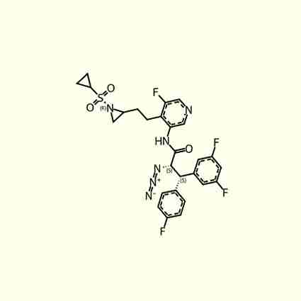 [N-]=[N+]=N[C@H](C(=O)Nc1cncc(F)c1CCC1C[N@]1S(=O)(=O)C1CC1)[C@@H](c1ccc(F)cc1)c1cc(F)cc(F)c1